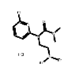 CC(C)N(CCN(C(=O)N(C)C)c1cccc(Cl)n1)C(C)C.Cl